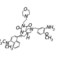 COc1ccc(CN2C[C@@H]3C[C@@H](c4ccc(N(C)C)c5ccccc45)N4C(=O)N(CCN5CCOCC5)C(=O)C34C2)cc1N